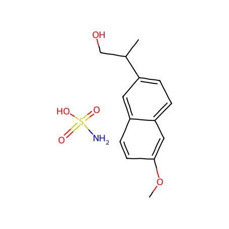 COc1ccc2cc(C(C)CO)ccc2c1.NS(=O)(=O)O